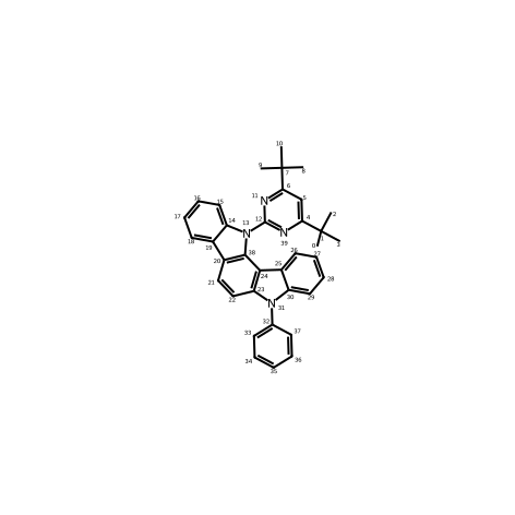 CC(C)(C)c1cc(C(C)(C)C)nc(-n2c3ccccc3c3ccc4c(c5ccccc5n4-c4ccccc4)c32)n1